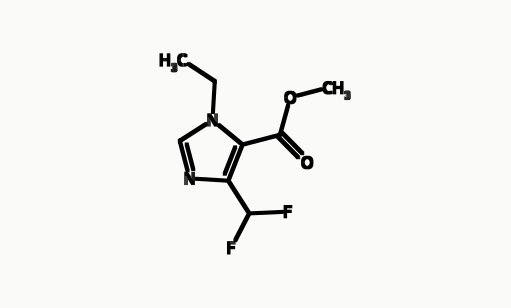 CCn1cnc(C(F)F)c1C(=O)OC